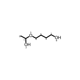 [CH2]C(O)OCCCCO